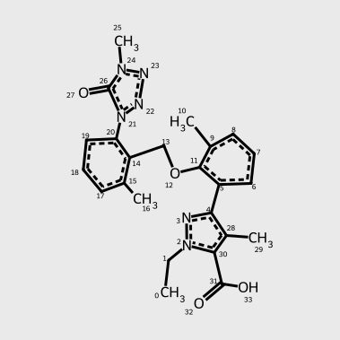 CCn1nc(-c2cccc(C)c2OCc2c(C)cccc2-n2nnn(C)c2=O)c(C)c1C(=O)O